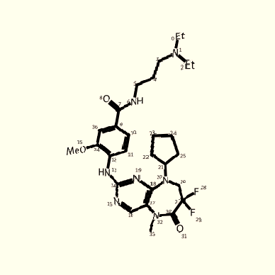 CCN(CC)CCCNC(=O)c1ccc(Nc2ncc3c(n2)N(C2CCCC2)CC(F)(F)C(=O)N3C)c(OC)c1